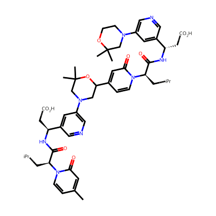 Cc1ccn([C@@H](CC(C)C)C(=O)N[C@@H](CC(=O)O)c2cncc(N3CC(c4ccn([C@H](CC(C)C)C(=O)N[C@@H](CC(=O)O)c5cncc(N6CCOC(C)(C)C6)c5)c(=O)c4)OC(C)(C)C3)c2)c(=O)c1